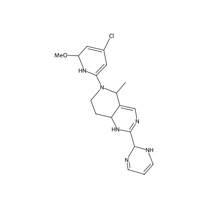 COC1C=C(Cl)C=C(N2CCC3NC(C4N=CC=CN4)=NC=C3C2C)N1